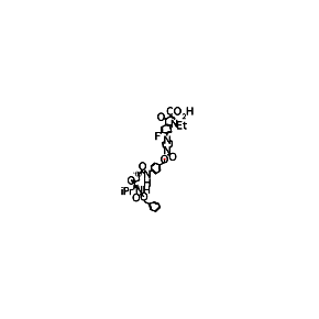 CCn1cc(C(=O)O)c(=O)c2cc(F)c(N3CCN(C(=O)OCc4ccc(NC(=O)[C@@H](C)CC(=O)[C@H](NC(=O)OCc5ccccc5)C(C)C)cc4)CC3)cc21